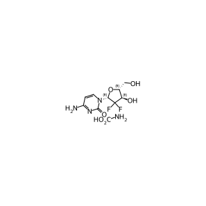 NC(=O)O.Nc1ccn([C@@H]2O[C@H](CO)[C@@H](O)C2(F)F)c(=O)n1